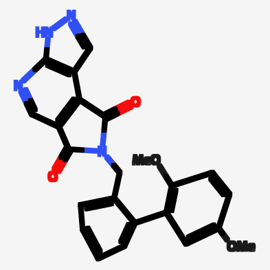 COc1ccc(OC)c(-c2ccccc2CN2C(=O)c3cnc4[nH]ncc4c3C2=O)c1